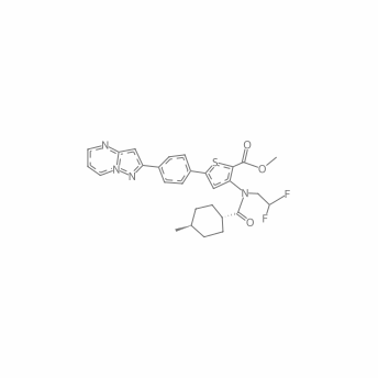 COC(=O)c1sc(-c2ccc(-c3cc4ncccn4n3)cc2)cc1N(CC(F)F)C(=O)[C@H]1CC[C@H](C)CC1